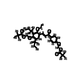 CCOc1c(/C=C/C(=O)c2ccc(OCOC(=O)C(C)(C)C)cc2)cc(C(C)(C)CC)c(OCOC(=O)C(C)(C)C)c1C(C)(C)CC